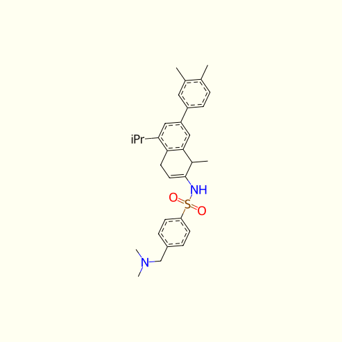 Cc1ccc(-c2cc(C(C)C)c3c(c2)C(C)C(NS(=O)(=O)c2ccc(CN(C)C)cc2)=CC3)cc1C